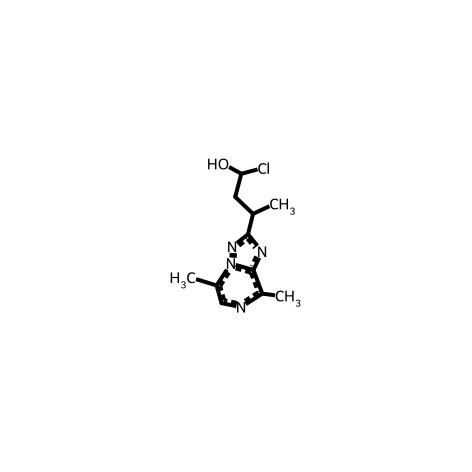 Cc1ncc(C)n2nc(C(C)CC(O)Cl)nc12